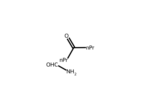 CCCC(=O)CCC.NC=O